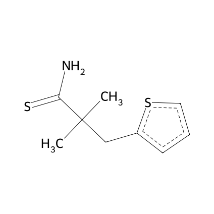 CC(C)(Cc1cccs1)C(N)=S